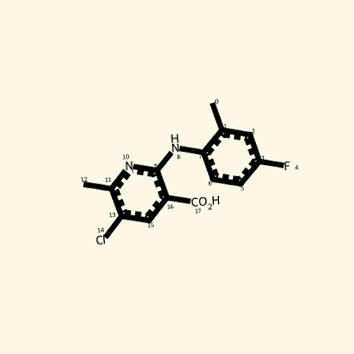 Cc1cc(F)ccc1Nc1nc(C)c(Cl)cc1C(=O)O